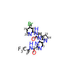 C[C@@H](NC(=O)c1ncc2c(n1)N(C(=O)Nc1cc(Br)ccn1)[C@H]1CCN2C1)C(F)(F)F